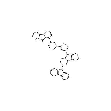 C1=Cc2c(c3ccccc3n2-c2ccc3c(c2)c2ccccc2n3-c2cccc(C3C=C(c4cccc5c4sc4ccccc45)C=CC3)c2)CC1